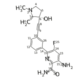 C=C1N(C)CC[C@@]1(O)C#Cc1cccc(-c2nc(C(N)=O)c(N)cc2F)c1